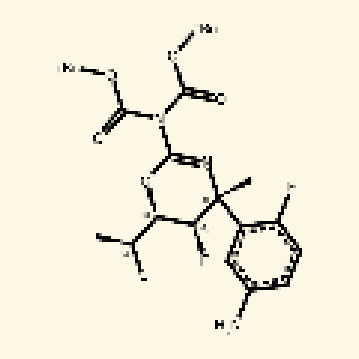 C[C@H](F)[C@H]1OC(N(C(=O)OC(C)(C)C)C(=O)OC(C)(C)C)=N[C@](C)(c2cc(N)ccc2F)[C@H]1F